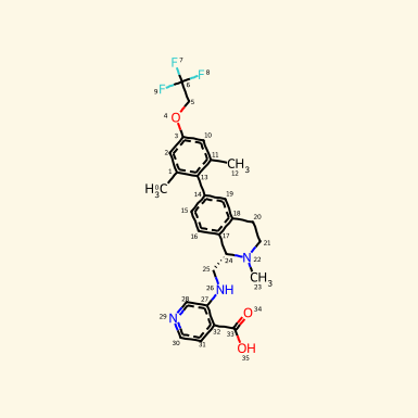 Cc1cc(OCC(F)(F)F)cc(C)c1-c1ccc2c(c1)CCN(C)[C@@H]2CNc1cnccc1C(=O)O